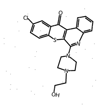 O=c1c2cc(Cl)ccc2sc2c(N3CCN(CCO)CC3)nc3ccccc3c12